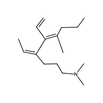 C=CC(/C(=C\C)CCCN(C)C)=C(/C)CCC